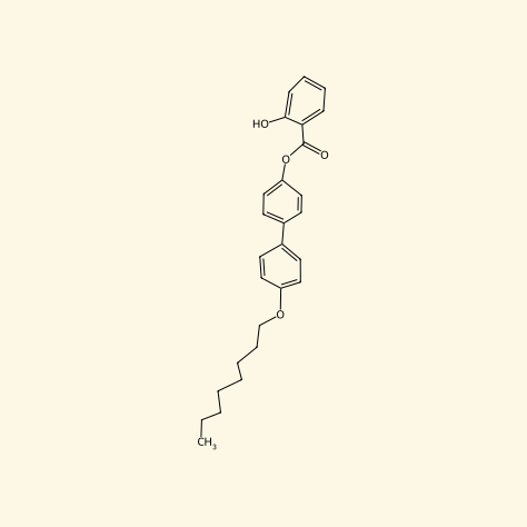 CCCCCCCCOc1ccc(-c2ccc(OC(=O)c3ccccc3O)cc2)cc1